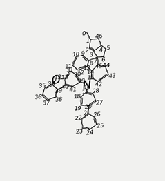 CC1C=C2C(CCC23c2ccccc2-c2c(N(c4ccc(-c5ccccc5)cc4)c4ccc5oc6ccccc6c5c4)cccc23)C1